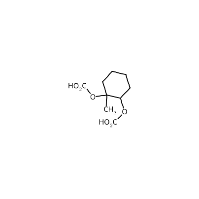 CC1(OC(=O)O)CCCCC1OC(=O)O